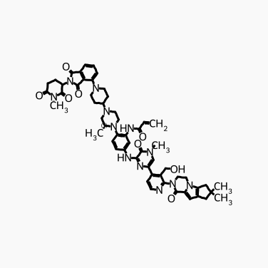 C=CC(=O)Nc1cc(Nc2nc(-c3ccnc(N4CCn5c(cc6c5CC(C)(C)C6)C4=O)c3CO)cn(C)c2=O)ccc1N1CCN(C2CCN(c3cccc4c3C(=O)N(C3CCC(=O)N(C)C3=O)C4=O)CC2)C[C@@H]1C